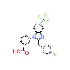 O=C(O)c1cccc(-n2c(Cc3ccc(F)cc3)nc3cc(C(F)(F)F)ccc32)c1